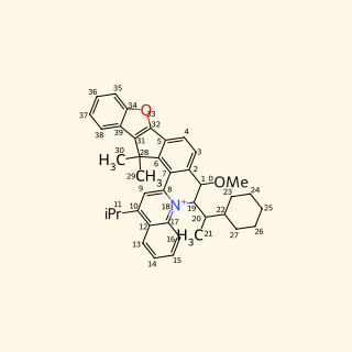 COC1c2ccc3c(c2-c2cc(C(C)C)c4ccccc4[n+]2C1C(C)C1CCCCC1)C(C)(C)c1c-3oc2ccccc12